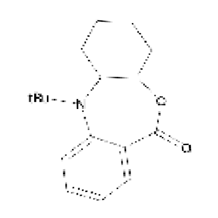 CC(C)(C)N1c2ccccc2C(=O)OC2CCCCC21